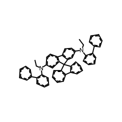 CCN(c1ccc2c(c1)C1(c3ccccc3-c3ccccc31)c1cc(N(CC)c3ccccc3-c3ccccc3)ccc1-2)c1ccccc1-c1ccccc1